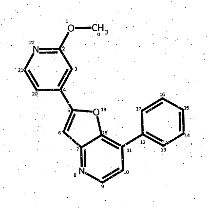 COc1cc(-c2cc3nccc(-c4ccccc4)c3o2)ccn1